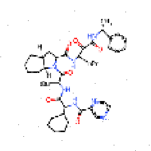 CCCC(NC(=O)[C@@H]1C[C@@H]2CCCC[C@@H]2N1C(=O)[C@@H](NC(=O)C(NC(=O)c1cnccn1)C1CCCCC1)C(C)(C)C)C(=O)C(=O)N[C@@H](C)c1ccccc1